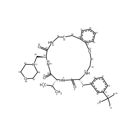 CC(C)[C@H]1NC(=O)[C@@H](Cc2cccc(C(F)(F)F)c2)NCCOc2ccccc2CCCNC(=O)[C@H](CN2CCOCC2)NC1=O